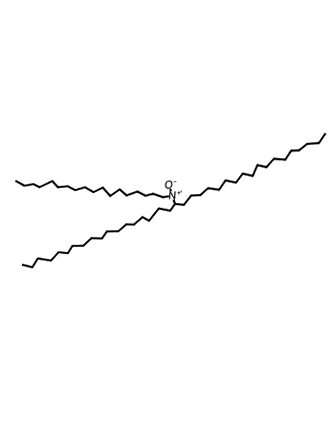 CCCCCCCCCCCCCCCCCCC(CCCCCCCCCCCCCCCCCC)[N+](C)([O-])CCCCCCCCCCCCCCCCCC